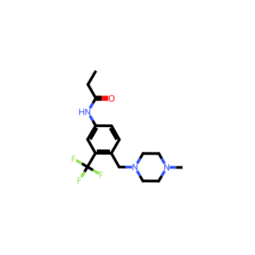 CCC(=O)Nc1ccc(CN2CCN(C)CC2)c(C(F)(F)F)c1